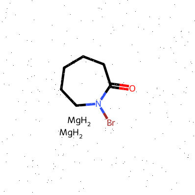 O=C1CCCCCN1Br.[MgH2].[MgH2]